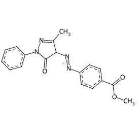 COC(=O)c1ccc(/N=N/C2C(=O)N(c3ccccc3)N=C2C)cc1